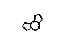 [C]1=c2c(ccc3c2=CC=C3)C=C1